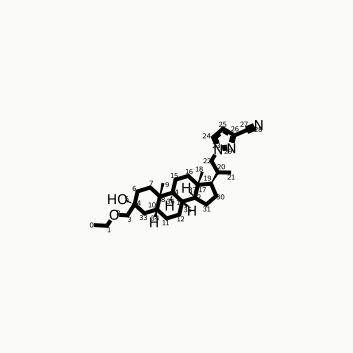 CCOC[C@@]1(O)CC[C@@]2(C)[C@H](CC[C@@H]3[C@@H]2CC[C@]2(C)[C@@H](C(C)Cn4ccc(C#N)n4)CC[C@@H]32)C1